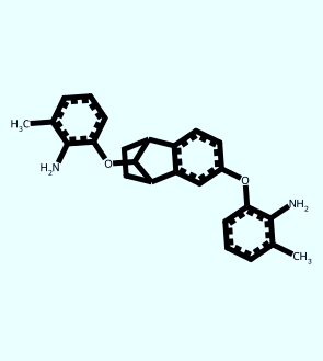 Cc1cccc(Oc2ccc3c(c2)C2CCC3C2Oc2cccc(C)c2N)c1N